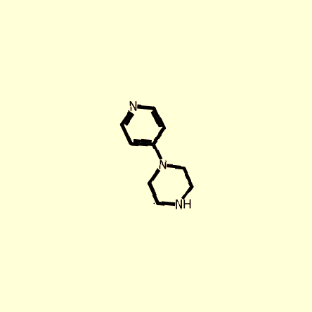 [CH]1CN(c2ccncc2)CCN1